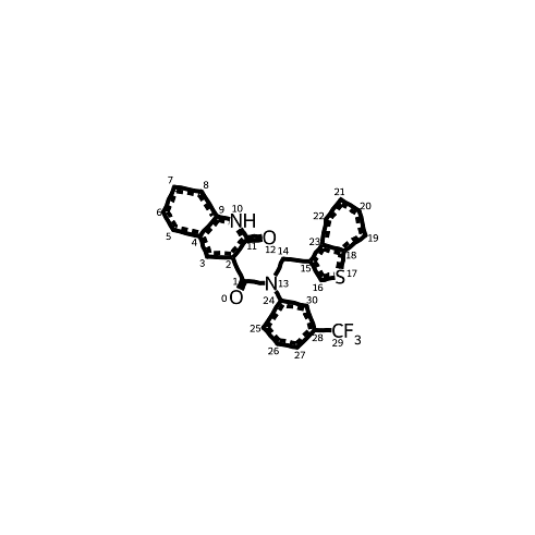 O=C(c1cc2ccccc2[nH]c1=O)N(Cc1csc2ccccc12)c1cccc(C(F)(F)F)c1